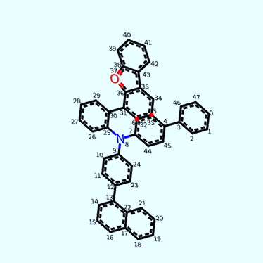 c1ccc(-c2ccc(N(c3ccc(-c4cccc5ccccc45)cc3)c3ccccc3-c3cccc4c3oc3ccccc34)cc2)cc1